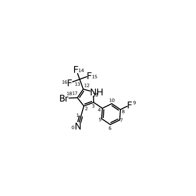 N#Cc1c(-c2cccc(F)c2)[nH]c(C(F)(F)F)c1Br